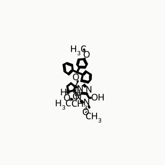 COCN1C=Nc2c(ncn2[C@@]2(COC(c3ccccc3)(c3ccccc3)c3ccc(OC)cc3)CC[C@H]3OC(C)(C)O[C@H]32)C1O